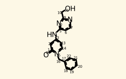 O=c1cc(Nc2ccnc(CO)n2)ccn1Cc1ccccc1